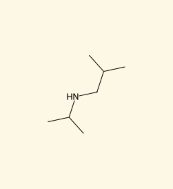 CC(C)CNC(C)C